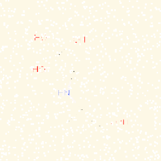 CC(C)(CO)NCC(O)(O)O